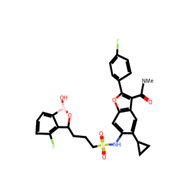 CNC(=O)c1c(-c2ccc(F)cc2)oc2cc(NS(=O)(=O)CCCC3OB(O)c4cccc(F)c43)c(C3CC3)cc12